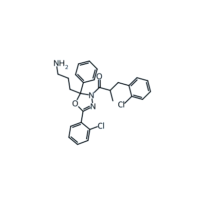 CC(Cc1ccccc1Cl)C(=O)N1N=C(c2ccccc2Cl)OC1(CCCN)c1ccccc1